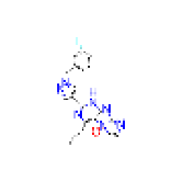 CCCC1=C2C(=NC3=NC=C[N+]32[O-])NC(c2cnn(Cc3cccc(F)c3)c2)=N1